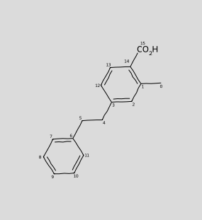 Cc1cc(CCc2ccccc2)ccc1C(=O)O